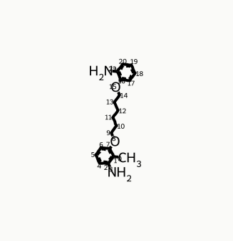 Cc1c(N)cccc1OCCCCCCOc1ccccc1N